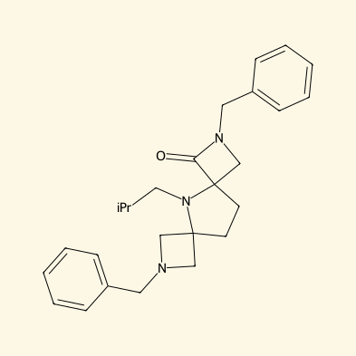 CC(C)CN1C2(CCC13CN(Cc1ccccc1)C3=O)CN(Cc1ccccc1)C2